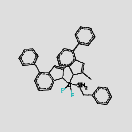 CC1=Cc2c(-c3ccccc3)cccc2[CH]1[Zr]([F])([F])([SiH2]Cc1ccccc1)[CH]1C(C)=Cc2c(-c3ccccc3)cccc21